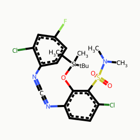 CN(C)S(=O)(=O)c1c(Cl)ccc(N=C=Nc2ccc(F)cc2Cl)c1O[Si](C)(C)C(C)(C)C